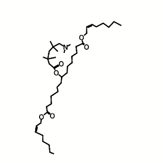 CCCCC/C=C\COC(=O)CCCCCCC(CCCCCCC(=O)OC/C=C\CCCCC)OC(=O)CC(C)(C)CC(C)(C)CN(C)C